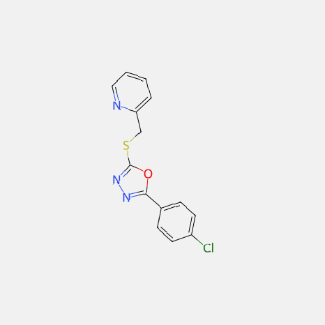 Clc1ccc(-c2nnc(SCc3ccccn3)o2)cc1